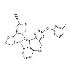 C#Cc1cc2c(cn1)-c1c3c4c(ncnc4n1C1CCOC21)NCc1cc(Oc2cccc(C)n2)ccc1-3